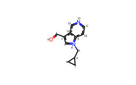 O=Cc1cn(CC2CC2)c2ccncc12